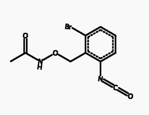 CC(=O)NOCc1c(Br)cccc1N=C=O